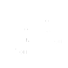 CC(C)(C)OC(=O)CCC(=O)N(Cc1ccc(O)cc1)[C@H]1c2ccccc2C[C@H]1O